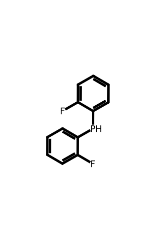 Fc1ccccc1Pc1ccccc1F